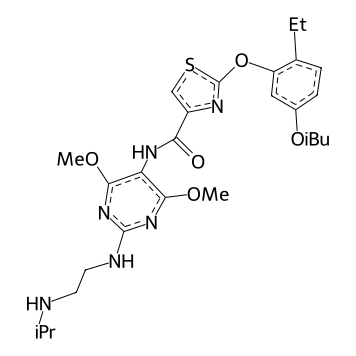 CCc1ccc(OCC(C)C)cc1Oc1nc(C(=O)Nc2c(OC)nc(NCCNC(C)C)nc2OC)cs1